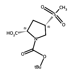 CC(C)(C)OC(=O)N1C[C@@H](S(C)(=O)=O)C[C@H]1C(=O)O